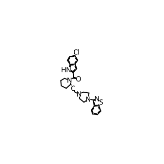 O=C(c1cc2cc(Cl)ccc2[nH]1)N1CCCC[C@@H]1CCN1CCN(c2nsc3ccccc23)CC1